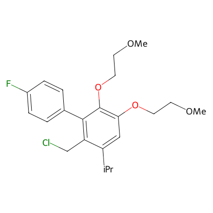 COCCOc1cc(C(C)C)c(CCl)c(-c2ccc(F)cc2)c1OCCOC